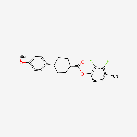 CCCCOc1ccc([C@H]2CC[C@H](C(=O)Oc3ccc(C#N)c(F)c3F)CC2)cc1